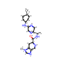 CCn1cnc2cnc(C(=O)NC(C)c3cnc(Nc4ccc(C(F)(F)F)cc4)cn3)cc21